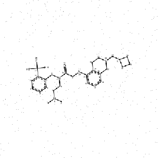 CN(C)CCN(Cc1ccccc1C(F)(F)F)C(=O)CNc1cccc2c1CCN(CC1CCC1)C2